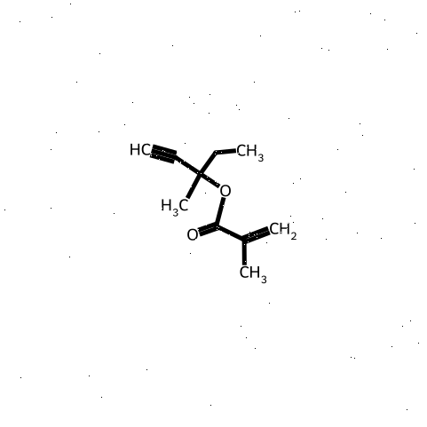 C#CC(C)(CC)OC(=O)C(=C)C